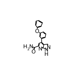 NC(=O)c1cc(-c2cccc(Oc3ccccc3)c2)c2cn[nH]c2n1